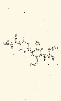 CC(C)Cc1cc(N2CCN(C(=O)OC(C)(C)C)CC2)c(C#N)cc1NC(=O)OC(C)(C)C